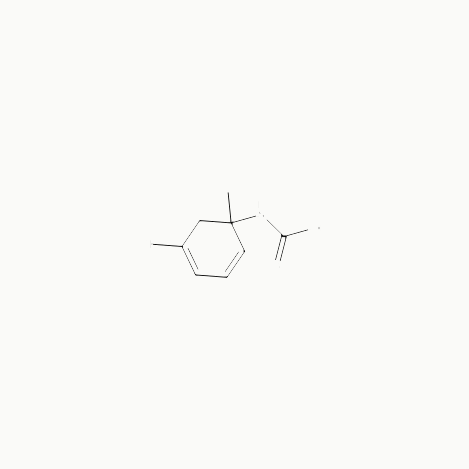 CC1(NC(=O)O)C=CC=C(Cl)C1